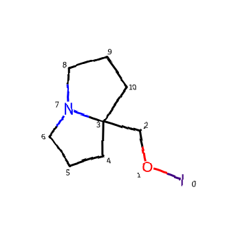 IOCC12CCCN1CCC2